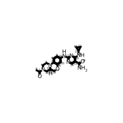 CC(=O)N1CCN2c3ccc(Nc4ncc(C(N)=O)c(NC5CC5)n4)cc3OC[C@@H]2C1